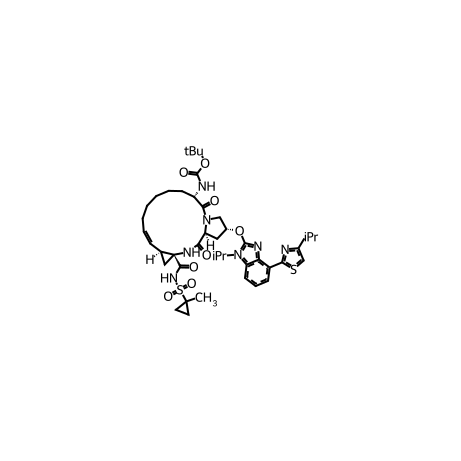 CC(C)c1csc(-c2cccc3c2nc(O[C@@H]2C[C@H]4C(=O)N[C@]5(C(=O)NS(=O)(=O)C6(C)CC6)C[C@H]5/C=C\CCCCC[C@H](NC(=O)OC(C)(C)C)C(=O)N4C2)n3C(C)C)n1